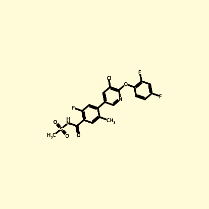 Cc1cc(C(=O)NS(C)(=O)=O)c(F)cc1-c1cnc(Oc2ccc(F)cc2F)c(Cl)c1